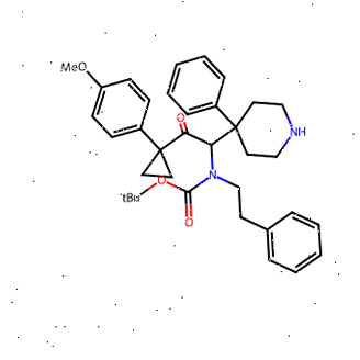 COc1ccc(C2(C(=O)C(N(CCc3ccccc3)C(=O)OC(C)(C)C)C3(c4ccccc4)CCNCC3)CC2)cc1